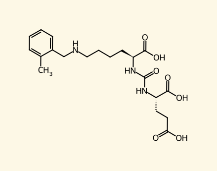 Cc1ccccc1CNCCCC[C@H](NC(=O)N[C@@H](CCC(=O)O)C(=O)O)C(=O)O